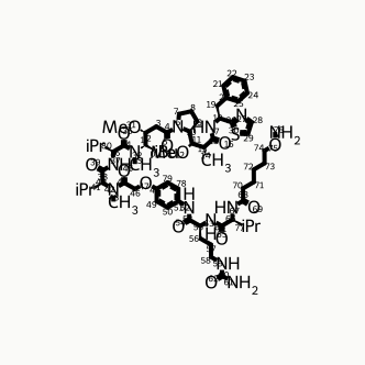 CC[C@H](C)[C@@H]([C@@H](CC(=O)N1CCC[C@H]1[C@H](OC)[C@@H](C)C(=O)N[C@@H](Cc1ccccc1)c1nccs1)OC)N(C)C(=O)[C@@H](NC(=O)[C@H](C(C)C)N(C)C(=O)COc1ccc(NC(=O)[C@H](CCCNC(N)=O)NC(=O)[C@@H](NC(=O)CCCCCON)C(C)C)cc1)C(C)C